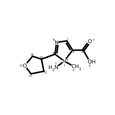 C[N+]1(N)C(C(=O)O)=CN=C1C1CCOC1